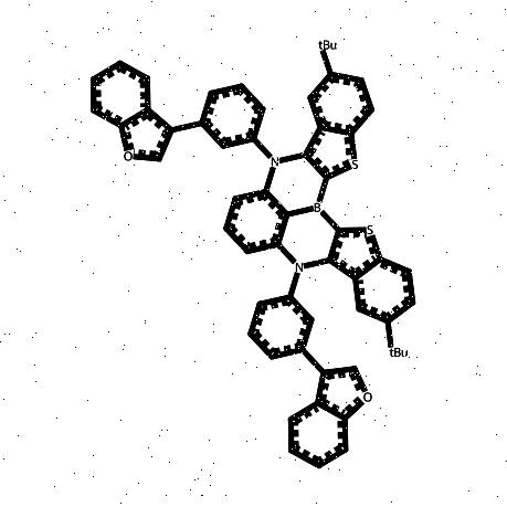 CC(C)(C)c1ccc2sc3c(c2c1)N(c1cccc(-c2coc4ccccc24)c1)c1cccc2c1B3c1sc3ccc(C(C)(C)C)cc3c1N2c1cccc(-c2coc3ccccc23)c1